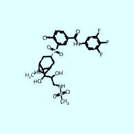 C[C@H]1CC2C[C@@H](S(=O)(=O)c3cc(C(=O)Nc4cc(F)c(F)c(F)c4)ccc3Cl)CC1[C@@]2(O)C(O)C(O)CNS(C)(=O)=O